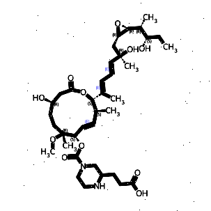 CC[C@H](O)[C@@H](C)[C@H]1O[C@@H]1C[C@@](C)(O)/C=C/C=C(\C)[C@H]1OC(=O)C[C@H](O)CC[C@@](C)(OC)[C@@H](OC(=O)N2CCNC(CCC(=O)O)C2)/C=C/[C@@H]1C